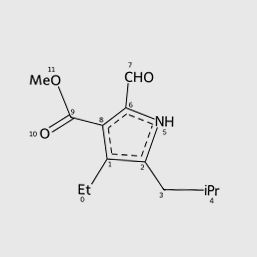 CCc1c(CC(C)C)[nH]c(C=O)c1C(=O)OC